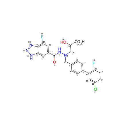 O=C(NN(Cc1ccc(-c2cc(Cl)ccc2F)cc1)CC(O)C(=O)O)c1cc(F)c2nn[nH]c2c1